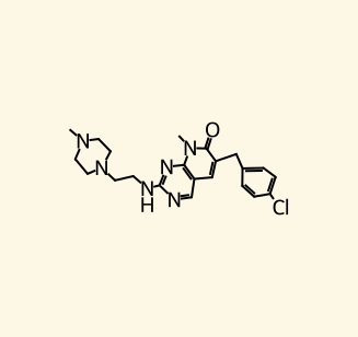 CN1CCN(CCNc2ncc3cc(Cc4ccc(Cl)cc4)c(=O)n(C)c3n2)CC1